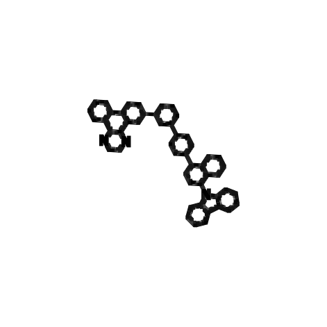 c1cc(-c2ccc(-c3ccc(-n4c5ccccc5c5ccccc54)c4ccccc34)cc2)cc(-c2ccc3c4ccccc4c4nccnc4c3c2)c1